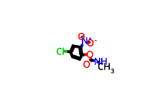 CNC(=O)Oc1ccc(Cl)cc1[N+](=O)[O-]